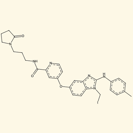 Cc1ccc(Nc2nc3cc(Oc4ccnc(C(=O)NCCCN5CCCC5=O)c4)ccc3n2CI)cc1